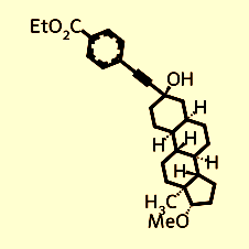 CCOC(=O)c1ccc(C#C[C@@]2(O)CC[C@H]3[C@H](CC[C@@H]4[C@@H]3CC[C@]3(C)[C@@H](OC)CC[C@@H]43)C2)cc1